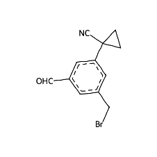 N#CC1(c2cc(C=O)cc(CBr)c2)CC1